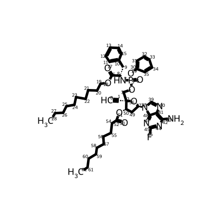 C#C[C@]1(COP(=O)(N[C@@H](Cc2ccccc2)C(=O)OCCCCCCCCCC)Oc2ccccc2)O[C@@H](n2cnc3c(N)nc(F)nc32)C[C@@H]1OC(=O)CCCCCCCCC